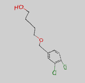 OCCCCOCc1ccc(Cl)c(Cl)c1